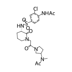 CC(=O)Nc1ccc(S(=O)(=O)N[C@H]2CCCN(CC(=O)N3CCC(N(C)C(C)=O)C3)C2=O)cc1Cl